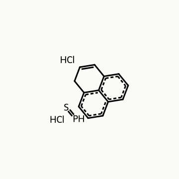 C1=Cc2cccc3cccc(c23)C1.Cl.Cl.P=S